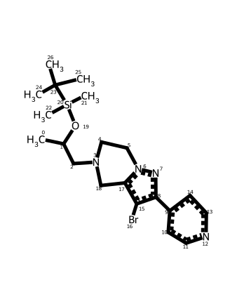 CC(CN1CCn2nc(-c3ccncc3)c(Br)c2C1)O[Si](C)(C)C(C)(C)C